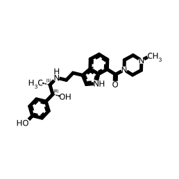 C[C@H](NCCc1c[nH]c2c(C(=O)N3CCN(C)CC3)cccc12)[C@H](O)c1ccc(O)cc1